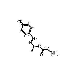 CC(N=Nc1ccc(Cl)cc1)OC(=O)CN